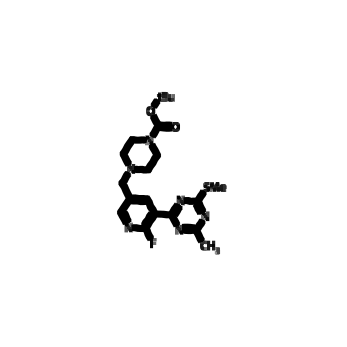 CSc1nc(C)nc(-c2cc(CN3CCN(C(=O)OC(C)(C)C)CC3)cnc2F)n1